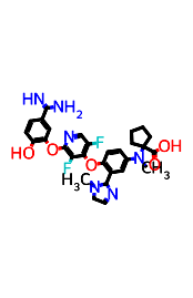 CN1CC=NC1c1cc(N(C)C2(C(=O)O)CCCC2)ccc1Oc1c(F)cnc(Oc2cc(C(=N)N)ccc2O)c1F